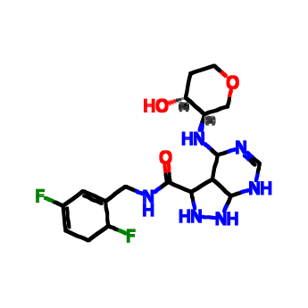 O=C(NCC1=CC(F)=CCC1F)C1NNC2NC=NC(N[C@@H]3COCC[C@H]3O)C21